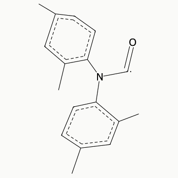 Cc1ccc(N([C]=O)c2ccc(C)cc2C)c(C)c1